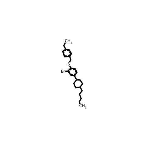 CCCCCC1CCC(c2ccc(SCc3ccc(CC)cc3)c(Br)c2)CC1